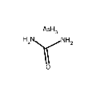 NC(N)=O.[AsH3]